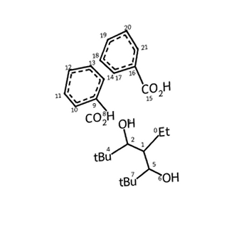 CCC(C(O)C(C)(C)C)C(O)C(C)(C)C.O=C(O)c1ccccc1.O=C(O)c1ccccc1